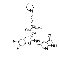 N[C@H](CCCCN1CCCCC1)C(=O)N[C@@H](Cc1ccc(F)c(F)c1)C(=O)NCc1cnc2[nH]cc(Cl)c2c1